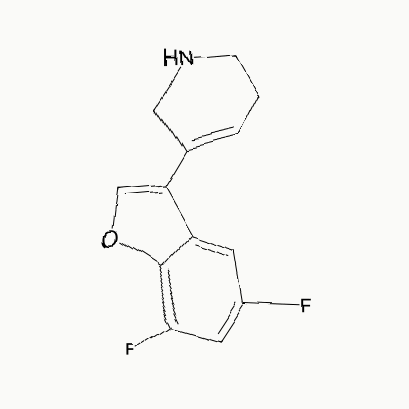 Fc1cc(F)c2occ(C3=CCCNC3)c2c1